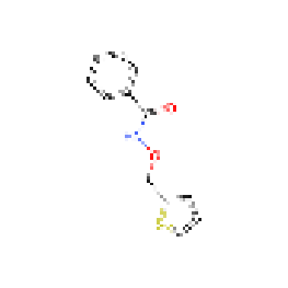 O=C(NOCc1cccs1)c1ccccc1